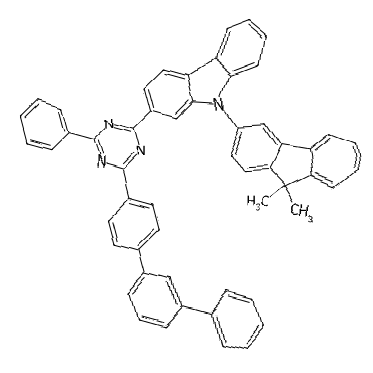 CC1(C)c2ccccc2-c2cc(-n3c4ccccc4c4ccc(-c5nc(-c6ccccc6)nc(-c6ccc(-c7cccc(-c8ccccc8)c7)cc6)n5)cc43)ccc21